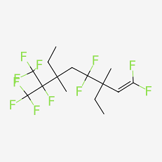 CCC(C)(C=C(F)F)C(F)(F)CC(C)(CC)C(F)(C(F)(F)F)C(F)(F)F